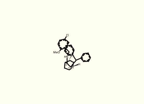 COc1ccc(Cl)cc1CN[C@@H]1C2CCN(CC2)[C@H]1C(c1ccccc1)c1ccccc1